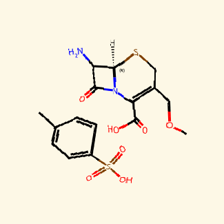 COCC1=C(C(=O)O)N2C(=O)C(N)[C@H]2SC1.Cc1ccc(S(=O)(=O)O)cc1